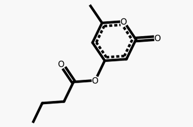 CCCC(=O)Oc1cc(C)oc(=O)c1